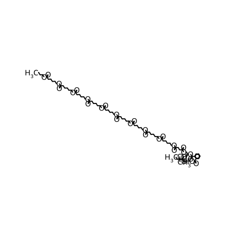 CCCCOC(=O)CCCCCOC(=O)CCCCCOC(=O)CCCCCOC(=O)CCCCCOC(=O)CCCCCOC(=O)CCCCCOC(=O)CCCCCOC(=O)CCCCCOC(=O)CCCCCOC(=O)CCC(=O)OCC(COC(=O)C(C)(C)CC)OC(=O)c1ccccc1C(=O)O